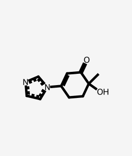 CC1(O)CCC(n2ccnc2)=CC1=O